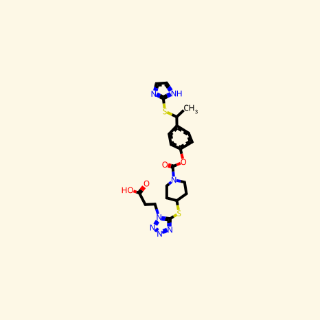 CC(Sc1ncc[nH]1)c1ccc(OC(=O)N2CCC(Sc3nnnn3CCC(=O)O)CC2)cc1